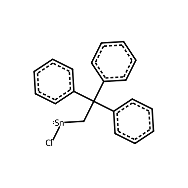 [Cl][Sn][CH2]C(c1ccccc1)(c1ccccc1)c1ccccc1